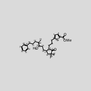 COC(=O)c1ccc(CCCN2C(=O)C(F)(F)CC2CC[C@@H](O)[C@H](C)CCCc2ccccc2)s1